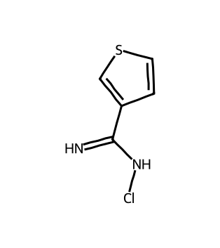 N=C(NCl)c1ccsc1